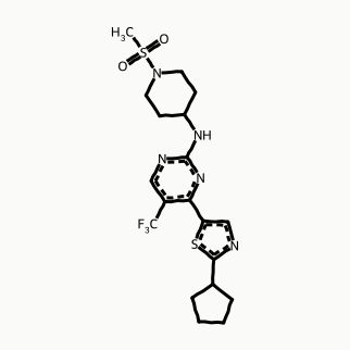 CS(=O)(=O)N1CCC(Nc2ncc(C(F)(F)F)c(-c3cnc(C4CCCC4)s3)n2)CC1